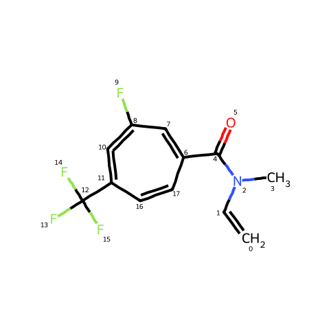 C=CN(C)C(=O)C1=CC(F)=C=C(C(F)(F)F)C=C1